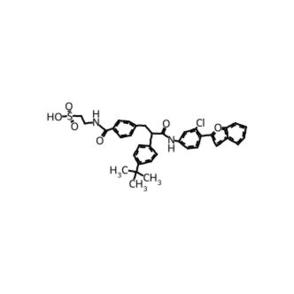 CC(C)(C)c1ccc(C(Cc2ccc(C(=O)NCCS(=O)(=O)O)cc2)C(=O)Nc2ccc(-c3cc4ccccc4o3)c(Cl)c2)cc1